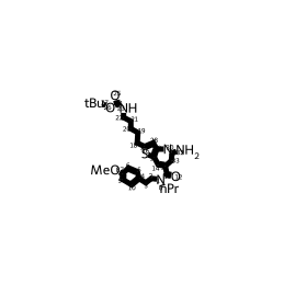 CCCN(CCc1ccc(OC)cc1)C(=O)C1=Cc2sc(CCCCCNC(=O)OC(C)(C)C)cc2N=C(N)C1